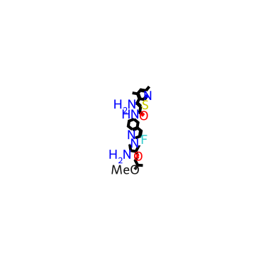 COC(C)COC1CN(c2nc3c(cc2F)CC(NC(=O)c2sc4nc(C)cc(C)c4c2N)CC3)CC1N